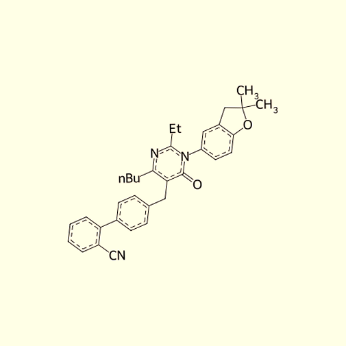 CCCCc1nc(CC)n(-c2ccc3c(c2)CC(C)(C)O3)c(=O)c1Cc1ccc(-c2ccccc2C#N)cc1